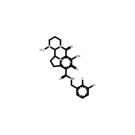 CN1CCCN2C(=O)c3c(O)c(=O)c(C(=O)NCc4cccc(Cl)c4F)c4n3C(CC4)C12